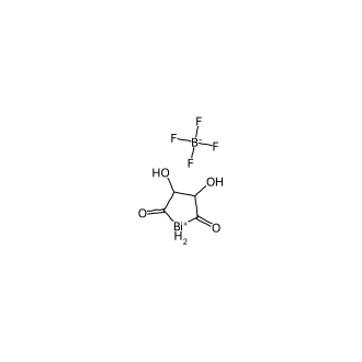 F[B-](F)(F)F.O=[C]1[BiH2+][C](=O)C(O)C1O